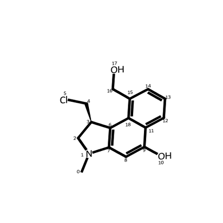 CN1C[C@@H](CCl)c2c1cc(O)c1cccc(CO)c21